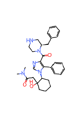 CN(C)C(=O)CC1(O)CCCC[C@@H]1n1cnc(C(=O)N2CCNC[C@H]2Cc2ccccc2)c1-c1ccccc1